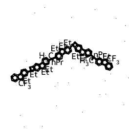 CCCC(C)(c1ccc2c(c1)C(CC)(CC)c1cc(C3(CC)Cc4cc5c(cc43)C(CC)(CC)c3cc(C(C)(CCC)c4ccc6c(c4)C(CC)(C(F)(F)F)c4ccccc4-6)ccc3-5)ccc1-2)c1ccc2c(c1)C(CC)(CC)c1cc3c(cc1-2)CC3(CC)c1ccc2c(c1)C(CC)(C(F)(F)F)c1ccccc1-2